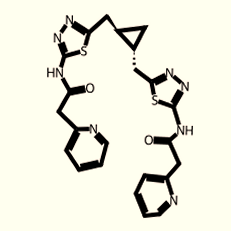 O=C(Cc1ccccn1)Nc1nnc(C[C@H]2C[C@@H]2Cc2nnc(NC(=O)Cc3ccccn3)s2)s1